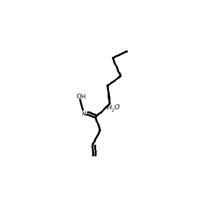 C=CCC(CCCCC)=NO.O